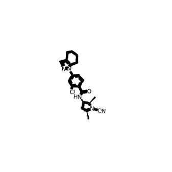 C[C@@H]1[C@H](NC(=O)c2ccc(-n3ncc4c3CCCC4)cc2Cl)C[C@H](C)N1C#N